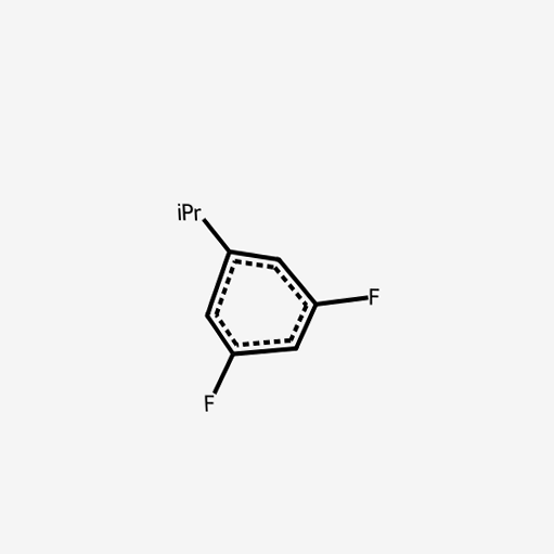 CC(C)c1cc(F)cc(F)c1